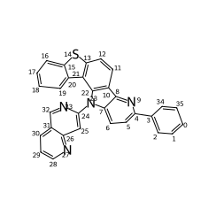 c1ccc(-c2ccc3c(n2)c2ccc4sc5ccccc5c4c2n3-c2cc3ncccc3cn2)cc1